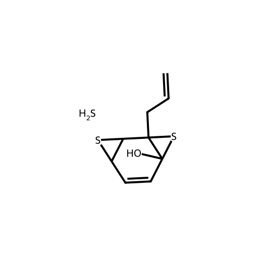 C=CCC12SC1(O)C=CC1SC12.S